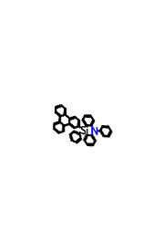 c1ccc(N2c3ccccc3[Si](c3ccccc3)(c3ccc4c5ccccc5c5ccccc5c4c3)c3ccccc32)cc1